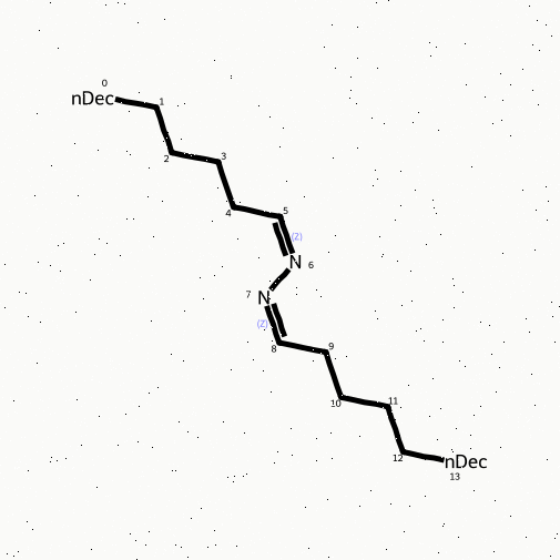 CCCCCCCCCCCCCC/C=N\N=C/CCCCCCCCCCCCCC